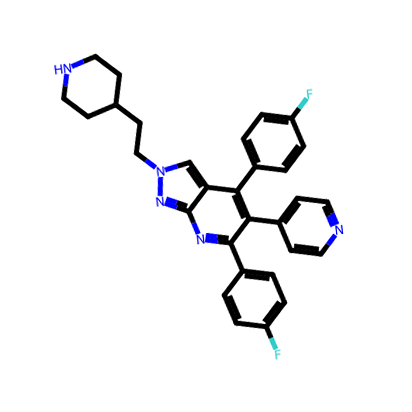 Fc1ccc(-c2nc3nn(CCC4CCNCC4)cc3c(-c3ccc(F)cc3)c2-c2ccncc2)cc1